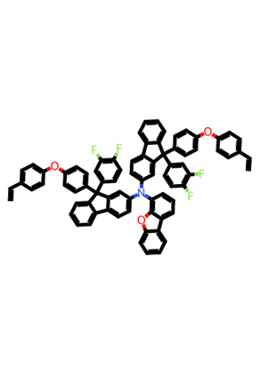 C=Cc1ccc(Oc2ccc(C3(c4ccc(F)c(F)c4)c4ccccc4-c4ccc(N(c5ccc6c(c5)C(c5ccc(Oc7ccc(C=C)cc7)cc5)(c5ccc(F)c(F)c5)c5ccccc5-6)c5cccc6c5oc5ccccc56)cc43)cc2)cc1